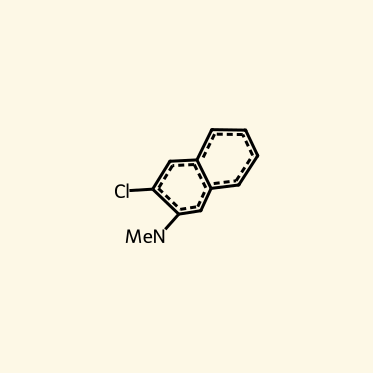 CNc1cc2ccccc2cc1Cl